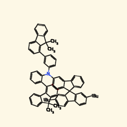 CC(C)(C)c1ccc2c(c1)C1(c3ccccc3-c3cc(N(c4cccc(-c5cccc6c5C(C)(C)c5ccccc5-6)c4)c4ccccc4-c4cccc5c4-c4ccccc4C5(C)C)ccc31)c1cc(C(C)(C)C)ccc1-2